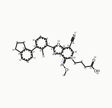 CO/N=c1/c2nc(-c3cccc(-c4cccc5c4CCC5)c3C)oc2c(C#N)cn1CCCC(=O)O